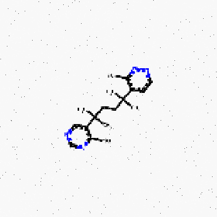 CC(C)(C)c1ncncc1C(C)(C)CCC(C)(C)c1ccnnc1C(C)(C)C